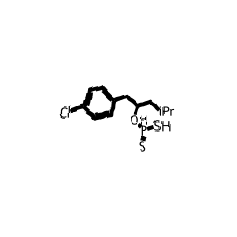 CC(C)CC(Cc1ccc(Cl)cc1)O[PH](=S)S